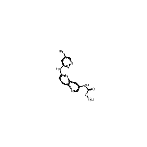 CC(C)c1cnnc(Nc2ccc3ncc(NC(=O)OC(C)(C)C)cc3n2)c1